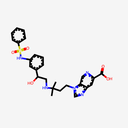 CC(C)(CCn1cnc2cc(C(=O)O)ncc21)NCC(O)c1cccc(NS(=O)(=O)c2ccccc2)c1